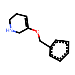 C1=C(OCc2ccccc2)CNCC1